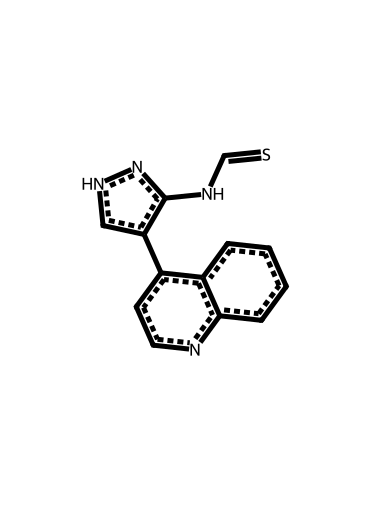 S=CNc1n[nH]cc1-c1ccnc2ccccc12